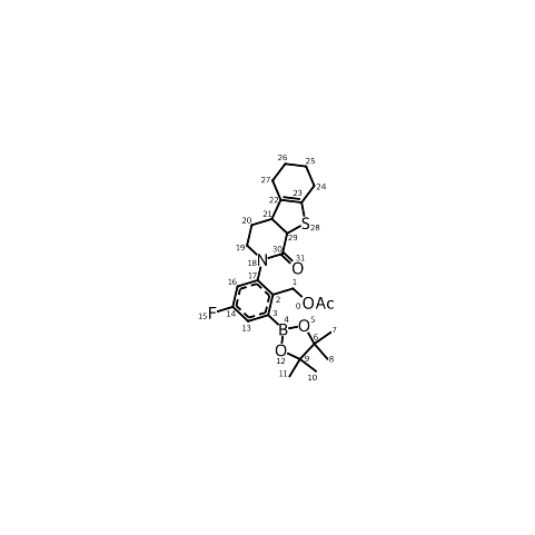 CC(=O)OCc1c(B2OC(C)(C)C(C)(C)O2)cc(F)cc1N1CCC2C3=C(CCCC3)SC2C1=O